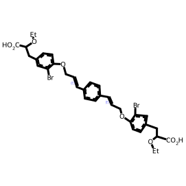 CCOC(Cc1ccc(OC/C=C/c2ccc(/C=C/COc3ccc(CC(OCC)C(=O)O)cc3Br)cc2)c(Br)c1)C(=O)O